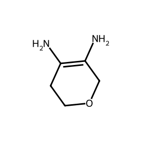 NC1=C(N)COCC1